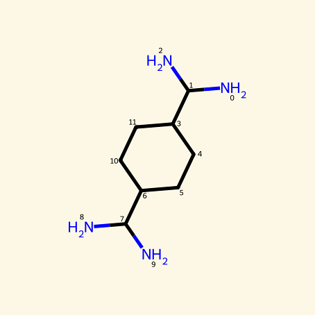 NC(N)C1CCC(C(N)N)CC1